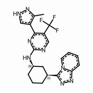 Cc1n[nH]cc1-c1nc(N[C@@H]2CCC[C@H](c3nnc4ccccn34)C2)ncc1C(F)(F)F